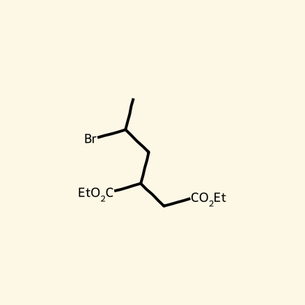 CCOC(=O)CC(CC(C)Br)C(=O)OCC